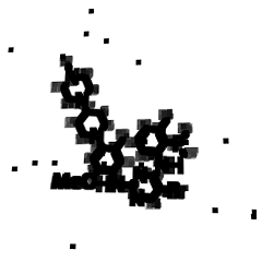 COc1cc(N2CCC(N3CCN(C)CC3)CC2)c(C)cc1Nc1ncc(Br)c(Nc2cccc(C)c2P(C)C)n1